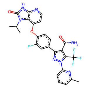 Cc1cccc(-n2nc(-c3ccc(Oc4ccnc5[nH]c(=O)n(C(C)C)c45)c(F)c3)c(C(N)=O)c2C(F)(F)F)n1